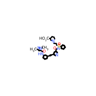 Cc1cc(C(=O)Nc2cccc(C#Cc3cncc(C(=O)N=[S@](=O)(CCCN4CCCC(C(=O)O)C4)c4ccccc4)c3)c2)n(C)n1